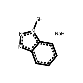 Sn1nnc2ccccc21.[NaH]